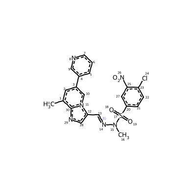 Cc1cc(-c2cccnc2)cn2c(/C=N/N(C)S(=O)(=O)c3ccc(Cl)c([N+](=O)[O-])c3)cnc12